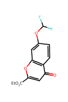 CCOC(=O)c1cc(=O)c2ccc(OC(F)F)cc2o1